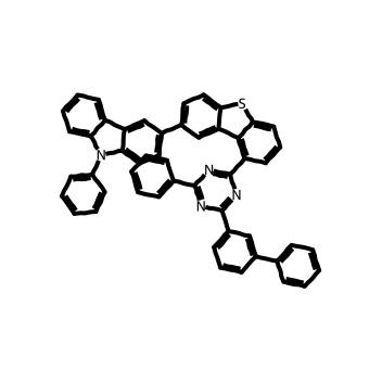 c1ccc(-c2cccc(-c3nc(-c4ccccc4)nc(-c4cccc5sc6ccc(-c7ccc8c(c7)c7ccccc7n8-c7ccccc7)cc6c45)n3)c2)cc1